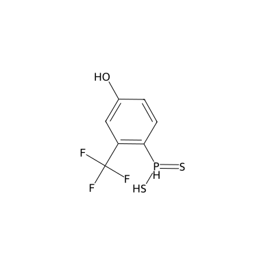 Oc1ccc([PH](=S)S)c(C(F)(F)F)c1